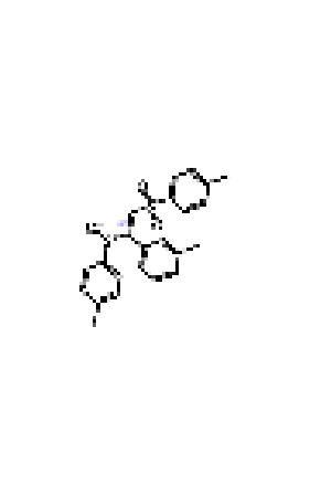 Cc1ccc([S+]([O-])/C(=C/S(=O)(=O)c2ccc(C)cc2)c2cccc(C)c2)cc1